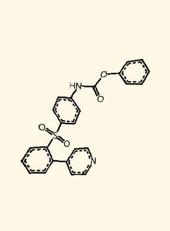 O=C(Nc1ccc(S(=O)(=O)c2ccccc2-c2ccncc2)cc1)Oc1ccccc1